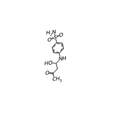 CC(=O)CC(O)Nc1ccc(S(N)(=O)=O)cc1